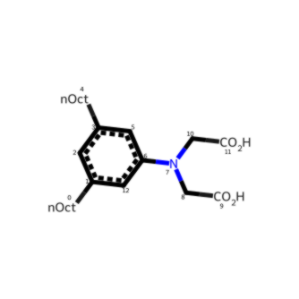 CCCCCCCCc1cc(CCCCCCCC)cc(N(CC(=O)O)CC(=O)O)c1